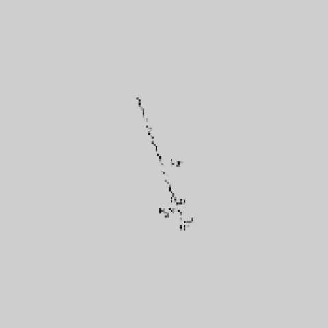 CCCCCCCCCCCCCCCCCCCCCCOC(=O)[C@@H](N)CCC(=O)[O-].[Na+]